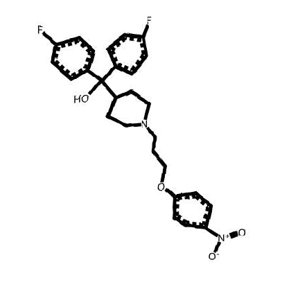 O=[N+]([O-])c1ccc(OCCCN2CCC(C(O)(c3ccc(F)cc3)c3ccc(F)cc3)CC2)cc1